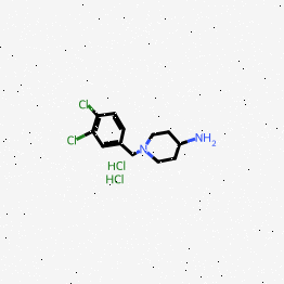 Cl.Cl.NC1CCN(Cc2ccc(Cl)c(Cl)c2)CC1